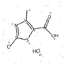 Cc1nc(Cl)sc1C(=O)O.Cl